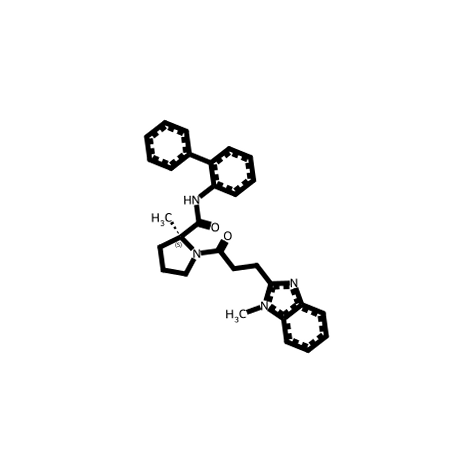 Cn1c(CCC(=O)N2CCC[C@@]2(C)C(=O)Nc2ccccc2-c2ccccc2)nc2ccccc21